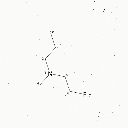 [CH2]CCN(C)CCF